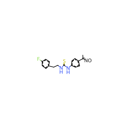 C[C@@H](N=O)c1ccc(NC(=S)NCCc2ccc(F)cc2)cc1